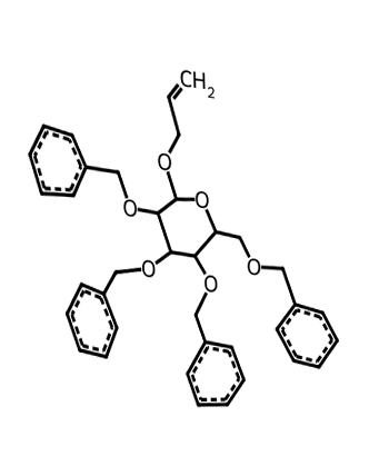 C=CCOC1OC(COCc2ccccc2)C(OCc2ccccc2)C(OCc2ccccc2)C1OCc1ccccc1